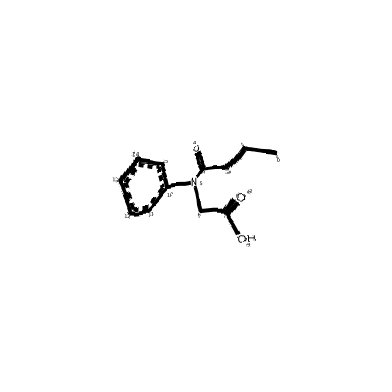 CCCC(=O)N(CC(=O)O)c1ccccc1